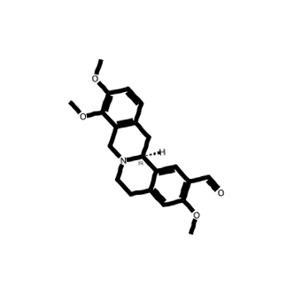 COc1cc2c(cc1C=O)[C@@H]1Cc3ccc(OC)c(OC)c3CN1CC2